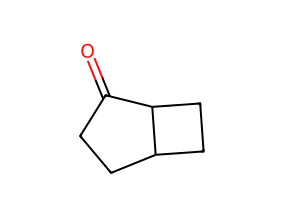 O=C1CCC2CCC12